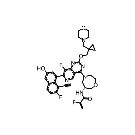 C#Cc1c(F)ccc2cc(O)cc(-c3ncc4c(N5CCOC[C@H](NC(=O)C(=C)F)C5)nc(OCC5(CN6CCOCC6)CC5)nc4c3F)c12